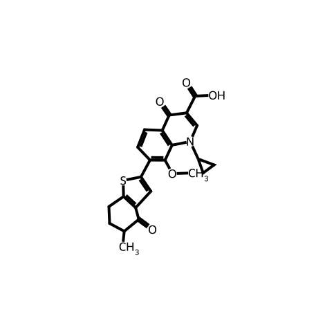 COc1c(-c2cc3c(s2)CCC(C)C3=O)ccc2c(=O)c(C(=O)O)cn(C3CC3)c12